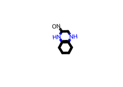 O=NC1CNC2=C(CCCC2)N1